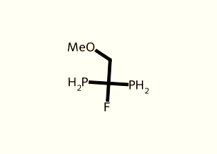 COCC(F)(P)P